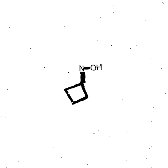 ON=C1[CH]CC1